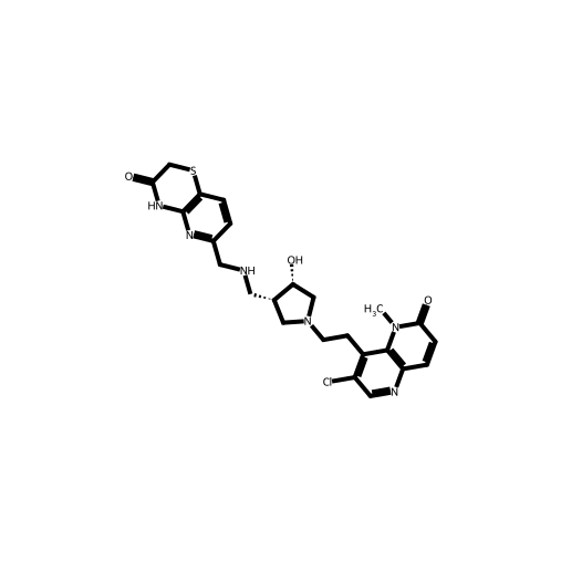 Cn1c(=O)ccc2ncc(Cl)c(CCN3C[C@H](CNCc4ccc5c(n4)NC(=O)CS5)[C@H](O)C3)c21